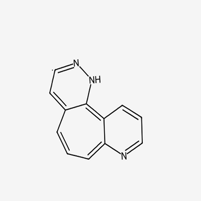 [C]1=NNC2=c3cccnc3=CC=CC2=C1